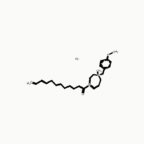 CCCCCCCCCCCC(=O)N1CCC[N+](C)(Cc2ccc(OC)cc2)CC1.[Cl-]